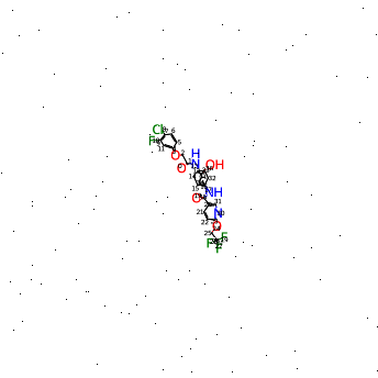 O=C(COc1ccc(Cl)c(F)c1)NC12CCC(NC(=O)c3ccc(OCC(F)(F)F)nc3)(CC1)CC2O